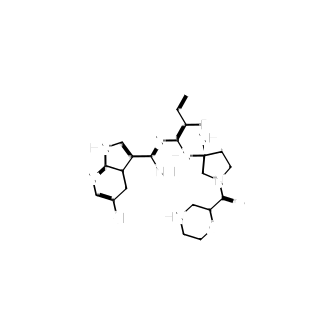 C=C/C(F)=C(\N=C(/N)C1=CNC2=NC=C(Cl)CC12)N[C@]1(N)CCN(C(=O)C2CNCCO2)C1